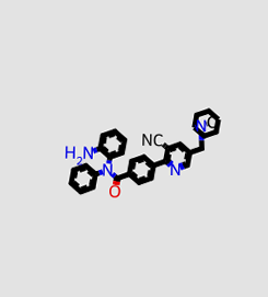 N#Cc1cc(CN2CC3CCC2CC3)cnc1-c1ccc(C(=O)N(c2ccccc2)c2ccccc2N)cc1